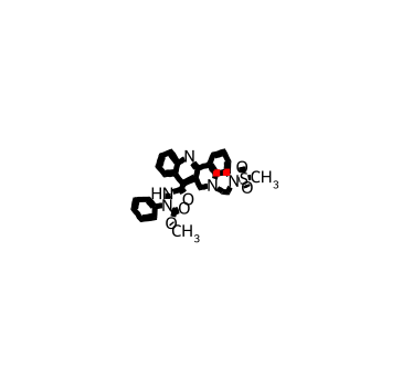 COC(=O)N(NC(=O)c1c(CN2CCN(S(C)(=O)=O)CC2)c(-c2ccccc2)nc2ccccc12)c1ccccc1